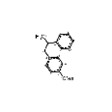 COc1ccc([CH]C(C)c2ccccc2)cc1